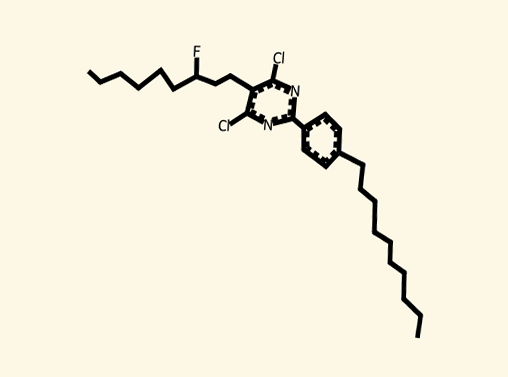 CCCCCCCCCCc1ccc(-c2nc(Cl)c(CCC(F)CCCCCC)c(Cl)n2)cc1